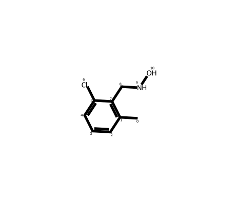 Cc1cccc(Cl)c1CNO